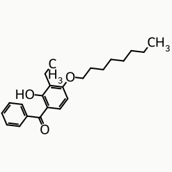 CCCCCCCCOc1ccc(C(=O)c2ccccc2)c(O)c1CC